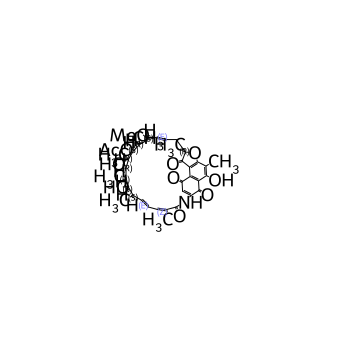 CO[C@H]1/C=C/C[C@@]2(C)Oc3c(C)c(O)c4c(c3C2=O)C(=O)C=C(NC(=O)/C(C)=C\C=C\[C@H](C)[C@H](O)[C@@H](C)[C@@H](O)[C@@H](C)[C@H](OC(C)=O)[C@@H]1C)C4=O